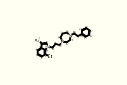 CCc1cccc2c(C(C)=O)cn(CCCN3CCCN(CCc4ccccc4)CC3)c12